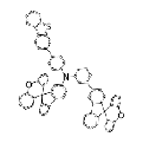 c1cc(-c2ccc3c(c2)-c2ccccc2C32c3ccccc3Oc3ccccc32)cc(N(c2ccc(-c3ccc4c(c3)sc3ccccc34)cc2)c2ccc3c(c2)C2(c4ccccc4Oc4ccccc42)c2ccccc2-3)c1